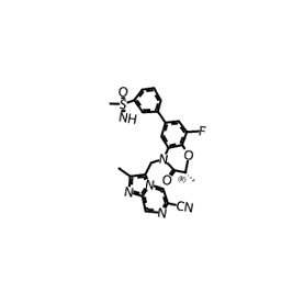 Cc1nc2cnc(C#N)cn2c1CN1C(=O)[C@@H](C)Oc2c(F)cc(-c3cccc(S(C)(=N)=O)c3)cc21